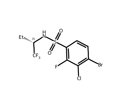 CC[C@H](NS(=O)(=O)c1ccc(Br)c(Cl)c1F)C(F)(F)F